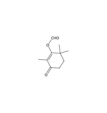 CC1=C(OC=O)C(C)(C)CCC1=O